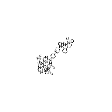 CN(Cc1ccccc1C1CCC(=O)NC1=O)C1CCN(c2ccc(Nc3ncc(C(F)(F)F)c(NCc4nccnc4N(C)S(C)(=O)=O)n3)cc2)CC1